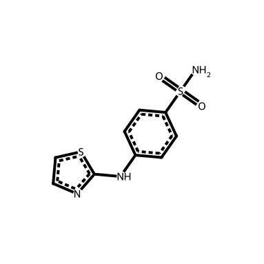 NS(=O)(=O)c1ccc(Nc2nccs2)cc1